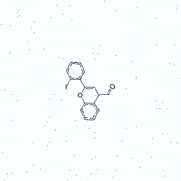 O=CC1C=C(c2ccccc2I)Oc2ccccc21